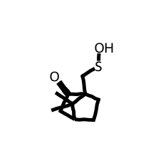 CC1(C)C2CCC1(CSO)C(=O)C2